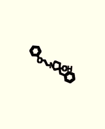 OC1(Cc2ccccc2)CCN(CCOc2ccccc2)C1